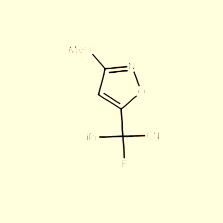 COc1cc(C(F)(C#N)C(C)C)on1